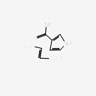 NC(=O)c1cc[nH]c1.O=C(O)C=CC(=O)O